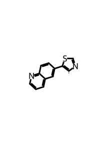 [c]1ncsc1-c1ccc2ncccc2c1